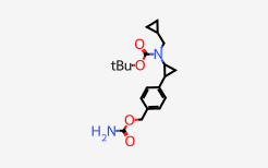 CC(C)(C)OC(=O)N(CC1CC1)C1CC1c1ccc(COC(N)=O)cc1